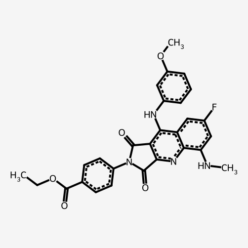 CCOC(=O)c1ccc(N2C(=O)c3nc4c(NC)cc(F)cc4c(Nc4cccc(OC)c4)c3C2=O)cc1